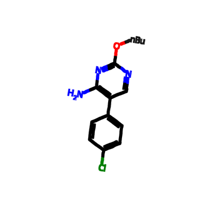 CCCCOc1ncc(-c2ccc(Cl)cc2)c(N)n1